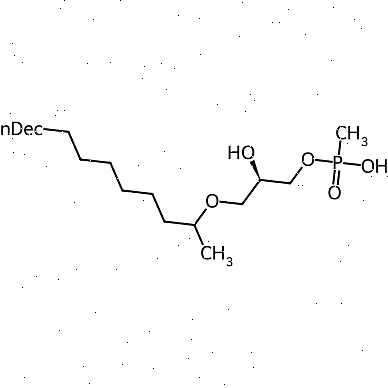 CCCCCCCCCCCCCCCCC(C)OC[C@@H](O)COP(C)(=O)O